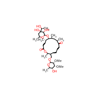 CO[C@@H]1[C@H](O)[C@@H](C)O[C@@H](OCC2/C=C/C=C/C(=O)[C@H](C)C[C@H](C)[C@H](OC3OC(C)C[C@](O)([C@H](C)O)[C@H]3O)[C@@H](C)/C=C/C(=O)O[C@@H]2C)[C@@H]1OC